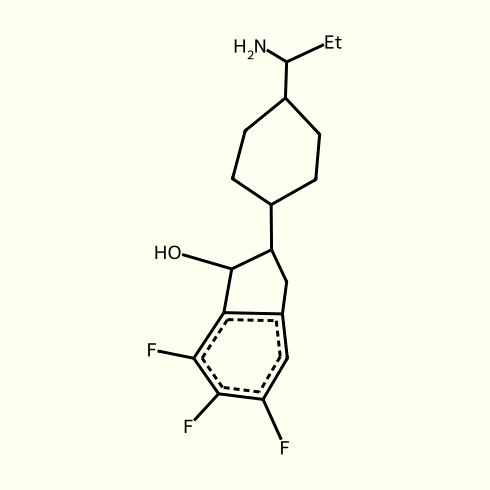 CCC(N)C1CCC(C2Cc3cc(F)c(F)c(F)c3C2O)CC1